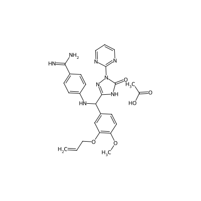 C=CCOc1cc(C(Nc2ccc(C(=N)N)cc2)c2nn(-c3ncccn3)c(=O)[nH]2)ccc1OC.CC(=O)O